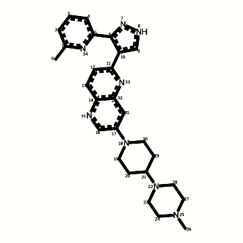 Cc1cccc(-c2n[nH]cc2-c2ccc3ncc(N4CCC(N5CCN(C)CC5)CC4)cc3n2)n1